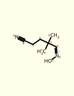 CC(C)(/C=N\O)CCC#N